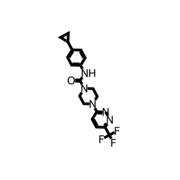 O=C(Nc1ccc(C2CC2)cc1)N1CCN(c2ccc(C(F)(F)F)nn2)CC1